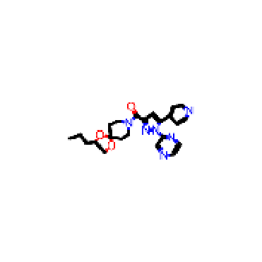 CCCC1COC2(CCN(C(=O)c3cc(-c4ccncc4)n(-c4cnccn4)n3)CC2)O1